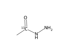 C[13C](=O)NN